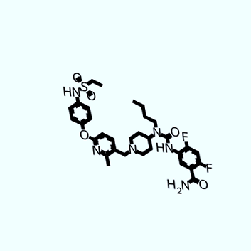 CCCCN(C(=O)Nc1cc(C(N)=O)c(F)cc1F)C1CCN(Cc2ccc(Oc3ccc(NS(=O)(=O)CC)cc3)nc2C)CC1